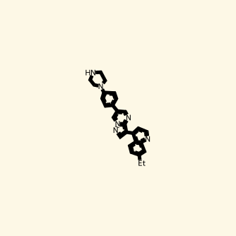 CCc1ccc2c(-c3cnn4cc(-c5ccc(N6CCNCC6)cc5)cnc34)ccnc2c1